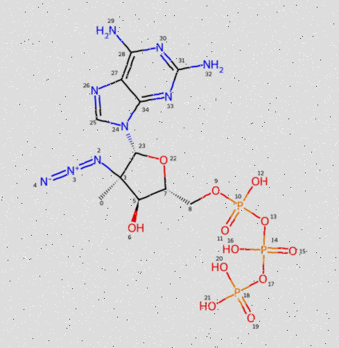 C[C@@]1(N=[N+]=[N-])[C@H](O)[C@@H](COP(=O)(O)OP(=O)(O)OP(=O)(O)O)O[C@H]1n1cnc2c(N)nc(N)nc21